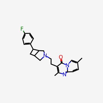 Cc1ccc2nc(C)c(CCN3CC4CC(c5ccc(F)cc5)C4C3)c(=O)n2c1